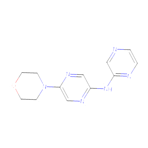 c1cnc(Nc2cnc(N3CCOCC3)cn2)cn1